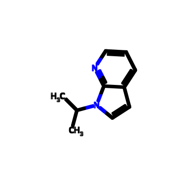 CC(C)n1ccc2cccnc21